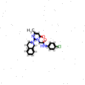 Cc1cc(=O)n(CC(=O)Nc2ccc(Cl)cc2)c(N2CCc3ccccc3C2)n1